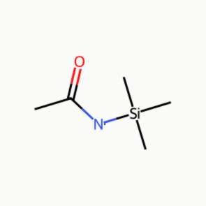 CC(=O)[N][Si](C)(C)C